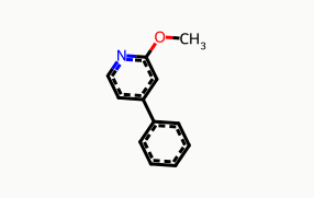 COc1cc(-c2ccccc2)ccn1